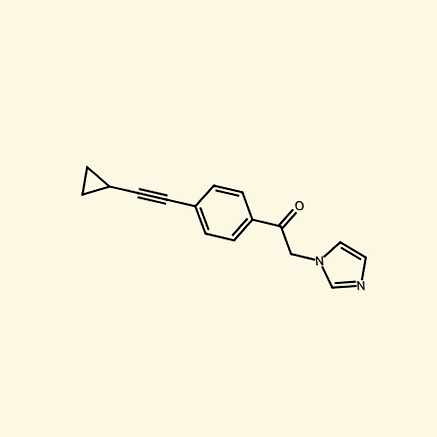 O=C(Cn1ccnc1)c1ccc(C#CC2CC2)cc1